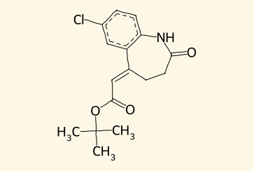 CC(C)(C)OC(=O)/C=C1\CCC(=O)Nc2ccc(Cl)cc21